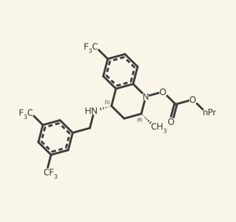 CCCOC(=O)ON1c2ccc(C(F)(F)F)cc2[C@@H](NCc2cc(C(F)(F)F)cc(C(F)(F)F)c2)C[C@H]1C